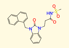 CS(=O)(=O)NC(=O)CCn1c(=O)n(Cc2cccc3ccccc23)c2ccccc21